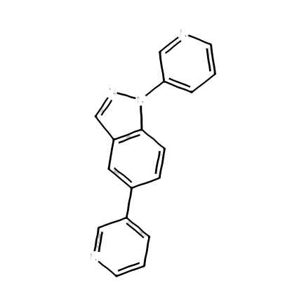 c1cncc(-c2ccc3c(cnn3-c3cccnc3)c2)c1